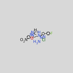 Cc1ncn(-c2ccc([N+](=O)[O-])cc2OCCCCNc2nc(Cl)nc3c2CCC3c2ccc(F)cc2)n1.N